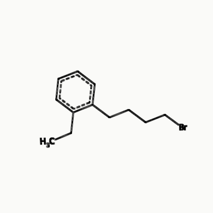 CCc1ccccc1CCCCBr